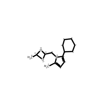 Cc1ccc(C2CCCCC2)n1CC1OC(C)O1